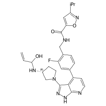 C=CC(O)N[C@@H]1CCN(c2n[nH]c3nccc(-c4ccc(CNC(=O)c5cc(C(C)C)no5)c(F)c4)c23)C1